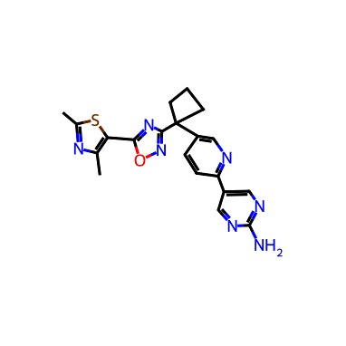 Cc1nc(C)c(-c2nc(C3(c4ccc(-c5cnc(N)nc5)nc4)CCC3)no2)s1